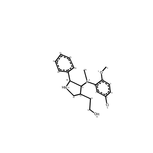 COc1ccc(Cl)cc1N(C)C1C(CCO)CNC1c1ccccc1